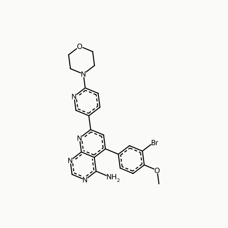 COc1ccc(-c2cc(-c3ccc(N4CCOCC4)nc3)nc3ncnc(N)c23)cc1Br